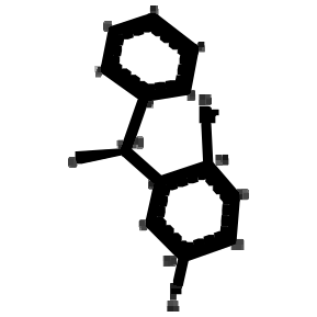 C[C@@H](c1ccccc1)c1cc(F)ccc1Br